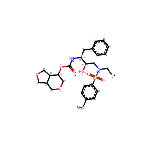 COc1ccc(S(=O)(=O)N(CC(C)C)C[C@@H](O)[C@H](Cc2ccccc2)NC(=O)OC2COCC3COCC32)cc1